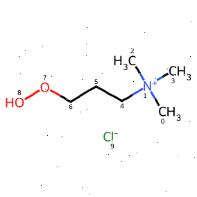 C[N+](C)(C)CCCOO.[Cl-]